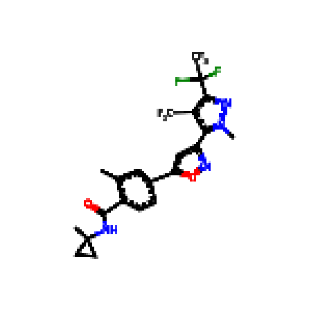 Cc1cc(-c2cc(-c3c(C(F)(F)F)c(C(F)(F)C(F)(F)F)nn3C)no2)ccc1C(=O)NC1(C)CC1